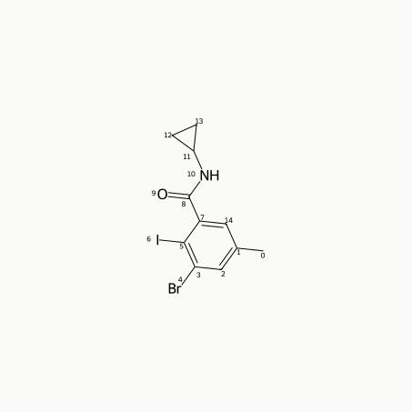 Cc1cc(Br)c(I)c(C(=O)NC2CC2)c1